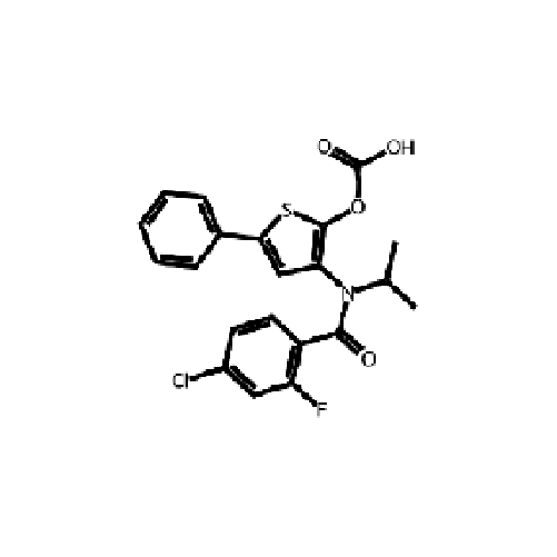 CC(C)N(C(=O)c1ccc(Cl)cc1F)c1cc(-c2ccccc2)sc1OC(=O)O